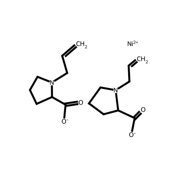 C=CCN1CCCC1C(=O)[O-].C=CCN1CCCC1C(=O)[O-].[Ni+2]